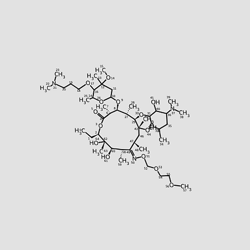 CC[C@H]1OC(=O)[C@H](C)[C@@H](OC2CC(C)(OC)C(OCCCN(C)C)C(C)O2)[C@H](C)[C@@H](OC2OC(C)CC(N(C)C)C2O)[C@](C)(OC)C[C@@H](C)/C(=N\OCOCCOC)[C@H](C)[C@@H](O)[C@]1(C)O